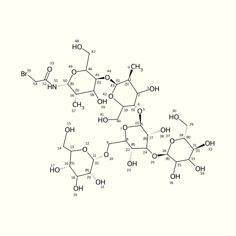 C[C@H]1C(O)[C@H](O[C@@H]2OC(CO[C@H]3OC(CO)[C@@H](O)C(O)[C@H]3O)[C@@H](O)C(O[C@H]3O[C@H](CO)[C@@H](O)C(O)C3O)[C@H]2O)C(CO)O[C@H]1O[C@@H]1C(CO)O[C@@H](NC(=O)CBr)[C@@H](C)C1O